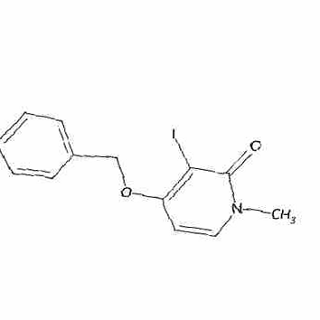 Cn1ccc(OCc2ccccc2)c(I)c1=O